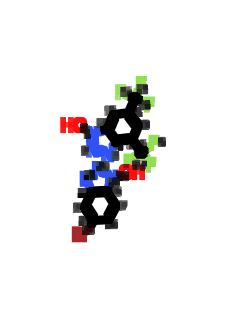 On1nnc2c(C(F)(F)F)cc(C(F)(F)F)cc21.On1nnc2cc(Br)ccc21